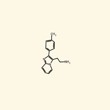 Cc1ccc(-c2nc3ccccn3c2CCN)cc1